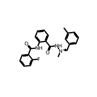 Cc1cccc(C=[N+](C)NC(=O)c2ccccc2NC(=O)c2ccccc2F)c1